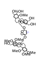 COc1cc(CC2c3c(cc(OC)c(OC)c3OC)CC[N+]2(C)CCCOC(=O)/C=C\C(=O)OCCC[N+]2(C)CCc3cc(CO)c(CO)c(OC)c3C2Cc2ccc(CO)c(CO)c2)cc(CO)c1OC